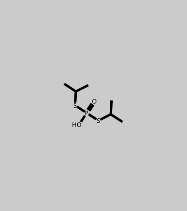 CC(C)SP(=O)(O)SC(C)C